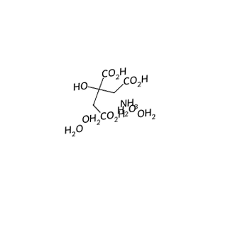 N.O.O.O.O.O=C(O)CC(O)(CC(=O)O)C(=O)O